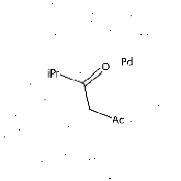 CC(=O)CC(=O)C(C)C.[Pd]